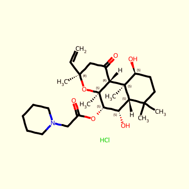 C=C[C@@]1(C)CC(=O)[C@H]2[C@](C)(O1)[C@@H](OC(=O)CN1CCCCC1)[C@@H](O)[C@H]1C(C)(C)CC[C@H](O)[C@@]12C.Cl